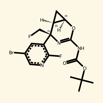 CC(C)(C)OC(=O)NC1=N[C@](CF)(c2cc(Br)cnc2F)[C@H]2C[C@H]2O1